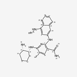 CCCNc1cc(Nc2nc(N[C@@H]3CCCC[C@@H]3N)c(F)cc2C(N)=O)cc2cccnc12